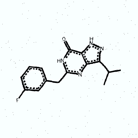 CC(C)c1n[nH]c2c(=O)[nH]c(Cc3cccc(F)c3)nc12